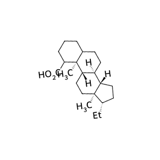 CC[C@H]1CC[C@H]2[C@@H]3CCC4CCCC(C(=O)O)[C@]4(C)[C@H]3CC[C@]12C